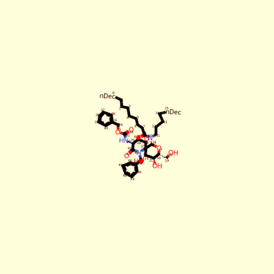 CCCCCCCCCCCCCCCCCC(=O)N(CCCCCCCCCCCCCC)[C@@H]1O[C@H](CO)[C@@H](O)[C@H](O)C12C(=O)C[C@H](NC(=O)OCc1ccccc1)C(=O)N2Cc1ccccc1